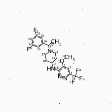 COc1cc(C(F)(F)F)nnc1NC1CCN(C(C)c2cc(F)cc(F)c2)CC1